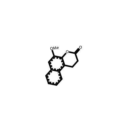 COc1cc2ccccc2c2c1OC(=O)CC2